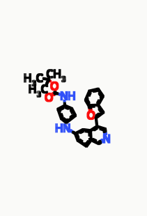 CC(C)(C)OC(=O)Nc1ccc(Nc2ccc3cncc(-c4cc5ccccc5o4)c3c2)cc1